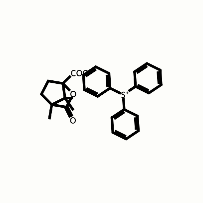 CC12CCC(C(=O)[O-])(OC1=O)C2(C)C.c1ccc([S+](c2ccccc2)c2ccccc2)cc1